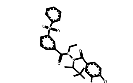 CCN(C(=O)c1cccc(S(=O)(=O)c2ccccc2)c1)N(C(=O)c1ccc(Cl)c(Cl)c1)C(C)C(C)(C)C